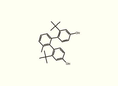 Cc1cccc(-c2ccc(O)cc2C(C)(C)C)c1-c1ccc(O)cc1C(C)(C)C